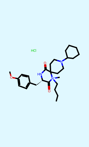 CCCC[N+]1(C)C(=O)[C@H](Cc2ccc(OC)cc2)NC(=O)C12CCN(C1CCCCC1)CC2.Cl